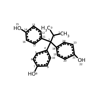 CC(C)C(c1ccc(O)cc1)(c1ccc(O)cc1)c1ccc(O)cc1